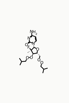 CC(C)COOC[C@H]1O[C@@H](n2ccc(N)nc2=O)[C@](C)(F)[C@@H]1OOCC(C)C